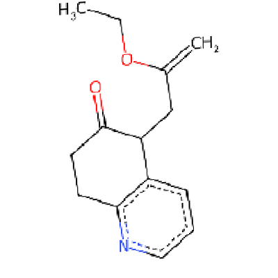 C=C(CC1C(=O)CCc2ncccc21)OCC